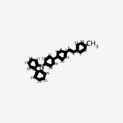 Cc1ccc(/C=C/c2ccc(-c3ccc(-n4c5ccccc5c5ccccc54)cc3)cc2)cc1